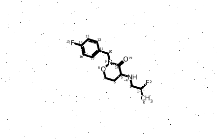 C[C@H](F)CNC1CCON(Cc2ccc(F)cc2)C1=O